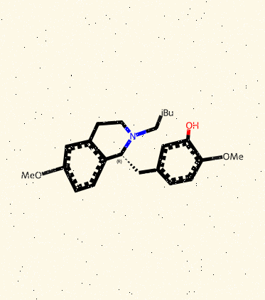 CCC(C)CN1CCc2cc(OC)ccc2[C@H]1Cc1ccc(OC)c(O)c1